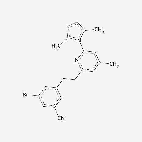 Cc1cc(CCc2cc(Br)cc(C#N)c2)nc(-n2c(C)ccc2C)c1